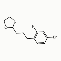 Fc1cc(Br)ccc1CCCC1OCCO1